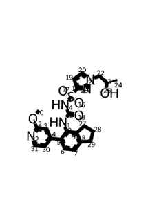 COc1cc(-c2ccc3c(c2NC(=O)NS(=O)(=O)c2ccn(C[C@@H](C)O)n2)CCC3)ccn1